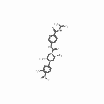 Cc1cc(N2C[C@@H](C)N(C(=O)Nc3ccc(C(=O)NC(C)C)nc3)C[C@@H]2C)ccc1[N+](=O)[O-]